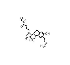 CCOC(=O)CCC[C@@H]1CC(=O)[C@@]2(C)CCC3c4cc(CCOC)c(O)cc4CCC3C12